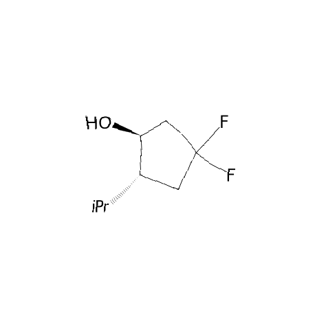 CC(C)[C@H]1CC(F)(F)C[C@@H]1O